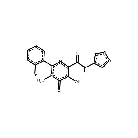 Cn1c(-c2ccccc2Br)nc(C(=O)Nc2cnoc2)c(O)c1=O